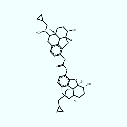 CN(CC1CC1)[C@@H]1Cc2ccc(OC(=O)Oc3ccc4c5c3O[C@H]3[C@H](O)CC[C@@]6(O)C(C4)N(CC4CC4)CC[C@]536)c3c2C2[C@@H](O3)[C@H](O)CC[C@]21O